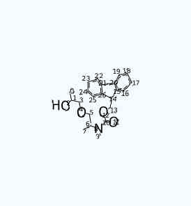 CC(O)COCC(C)N(C)C(=O)OCC1c2ccccc2-c2ccccc21